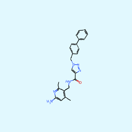 Cc1cc(N)nc(C)c1CNC(=O)c1cn(Cc2ccc(-c3ccccc3)cc2)nn1